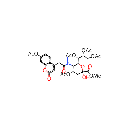 COC(=O)C1(O)CC(OC(C)=O)C(NC(=O)Cc2cc(=O)oc3cc(OC(C)=O)ccc23)C([C@H](OC(C)=O)[C@@H](COC(C)=O)OC(C)=O)O1